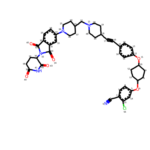 N#Cc1ccc(OC2CCC(Oc3ccc(C#CC4CCN(CC5CCN(c6ccc7c(c6)C(=O)N(C6CCC(=O)NC6=O)C7=O)CC5)CC4)cc3)CC2)cc1Cl